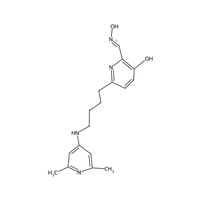 Cc1cc(NCCCCc2ccc(O)c(/C=N/O)n2)cc(C)n1